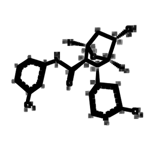 O=C(Nc1cccc(C(F)(F)F)c1)[C@@H]1[C@@H](c2ccnc(C(F)(F)F)c2)[C@H]2O[C@@H]1C[C@@H]2O